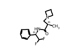 C[C@H](CN1CCC1)C(=O)N[C@H](c1ccccc1)C(F)F